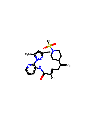 C=C(C/C=C(\C)C(=O)Nc1cccnc1-n1nc(C)cc1C)C1CCN(S(=O)(=O)CC)CC1